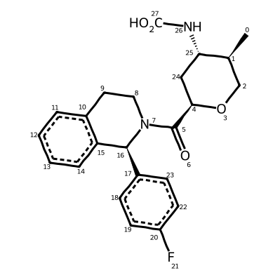 C[C@H]1CO[C@@H](C(=O)N2CCc3ccccc3[C@@H]2c2ccc(F)cc2)C[C@@H]1NC(=O)O